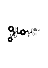 CC(C)(C)OC(O)NCc1ccc(CN[C@H](C(=O)OC2CCCC2)C2CCCCC2)cc1